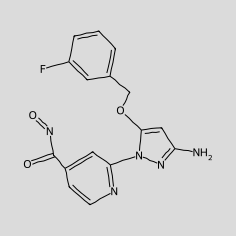 Nc1cc(OCc2cccc(F)c2)n(-c2cc(C(=O)N=O)ccn2)n1